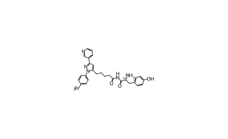 CC(C)c1ccc(-n2nc(-c3cccnc3)cc2CCCCC(=O)NC(=O)[C@@H](N)Cc2ccc(O)cc2)cc1